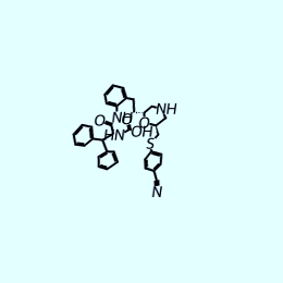 N#Cc1ccc(SC[C@@H]2CNC[C@@H](CCc3ccccc3NC(=O)C(NC(=O)O)C(c3ccccc3)c3ccccc3)O2)cc1